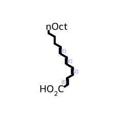 CCCCCCCCCCC/C=C/C=C/C=C\C=C\C(=O)O